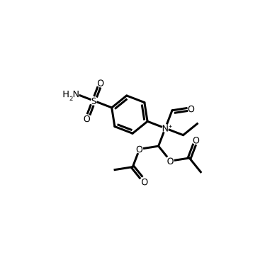 CC[N+](C=O)(c1ccc(S(N)(=O)=O)cc1)C(OC(C)=O)OC(C)=O